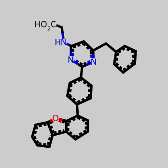 O=C(O)CNc1cc(Cc2ccccc2)nc(-c2ccc(-c3cccc4c3oc3ccccc34)cc2)n1